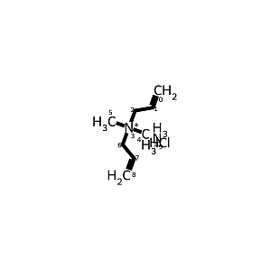 C=CC[N+](C)(C)CC=C.Cl.N